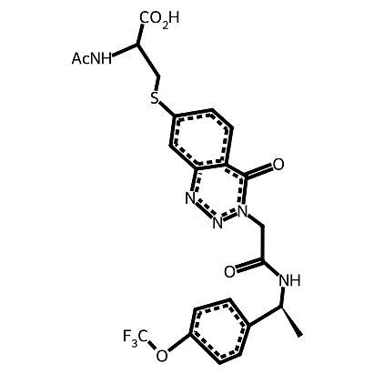 CC(=O)NC(CSc1ccc2c(=O)n(CC(=O)N[C@@H](C)c3ccc(OC(F)(F)F)cc3)nnc2c1)C(=O)O